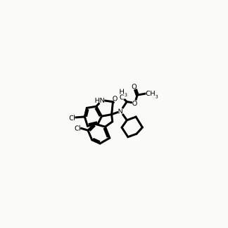 CC(=O)OC(C)N(C1CCCCC1)C1(Cc2cccc(Cl)c2)C(=O)Nc2cc(Cl)ccc21